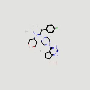 C[C@@H]1C[C@@H](O)c2ncnc(N3CCN(C(C(C=O)c4ccc(Cl)cc4)N(C)C4CCOCC4)CC3)c21